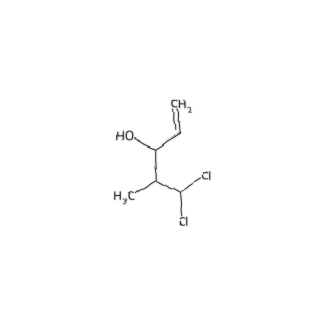 C=CC(O)C(C)C(Cl)Cl